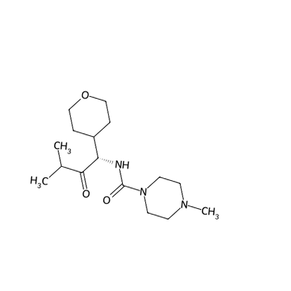 CC(C)C(=O)[C@@H](NC(=O)N1CCN(C)CC1)C1CCOCC1